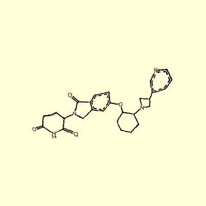 O=C1CCC(N2Cc3cc(OC4CCCCC4N4CC(c5cccnc5)C4)ccc3C2=O)C(=O)N1